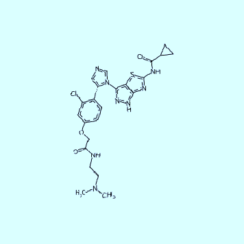 CN(C)CCNC(=O)COc1ccc(-c2cncn2-c2n[nH]c3nc(NC(=O)C4CC4)sc23)c(Cl)c1